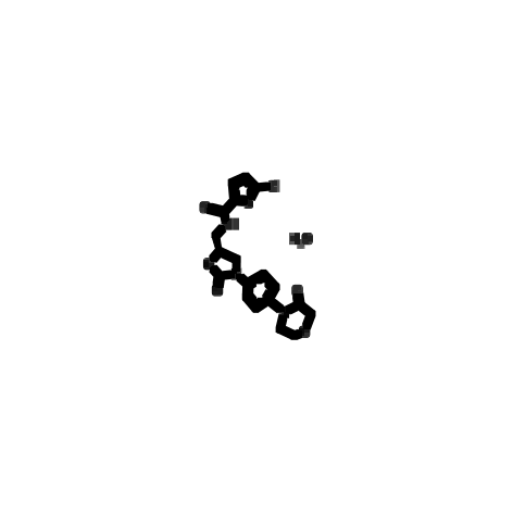 O.O=C(NC[C@H]1CN(c2ccc(N3CCOCC3=O)cc2)C(=O)O1)c1ccc(Cl)s1